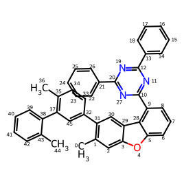 Cc1cc2oc3cccc(-c4nc(-c5ccccc5)nc(-c5ccccc5)n4)c3c2cc1-c1ccc(C)c(-c2ccccc2C)c1